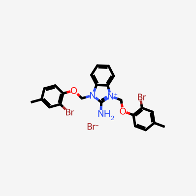 Cc1ccc(OCn2c(N)[n+](COc3ccc(C)cc3Br)c3ccccc32)c(Br)c1.[Br-]